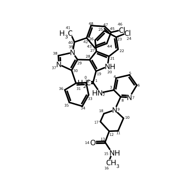 C=C(Nc1cccnc1N1CCC(C(=O)NC)CC1)c1[nH]c2cc(Cl)ccc2c1-c1c(-c2ccccc2)ncn1C(C)c1ccc(Cl)cc1